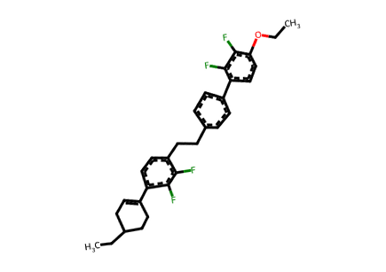 CCOc1ccc(-c2ccc(CCc3ccc(C4=CCC(CC)CC4)c(F)c3F)cc2)c(F)c1F